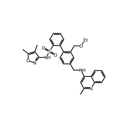 CCOCc1cc(CNc2cc(C)nc3ccccc23)ccc1-c1ccccc1S(=O)(=O)Nc1noc(C)c1C